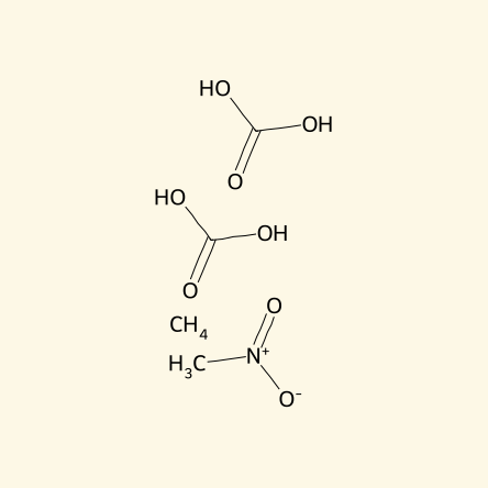 C.C[N+](=O)[O-].O=C(O)O.O=C(O)O